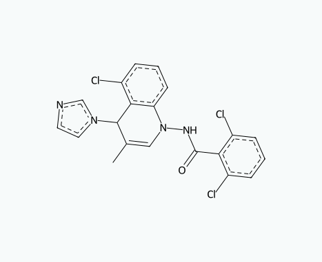 CC1=CN(NC(=O)c2c(Cl)cccc2Cl)c2cccc(Cl)c2C1n1ccnc1